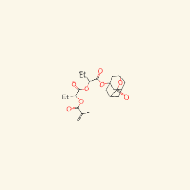 C=C(C)C(=O)OC(CC)C(=O)OC(CC)C(=O)OC12CC3CC(C1)OC(=O)C(C3)C2